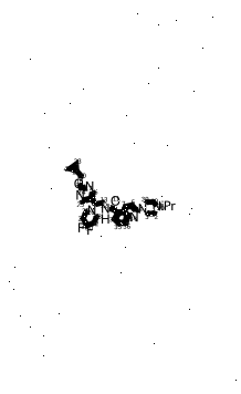 CC(C)N1CCN(c2ccc3c(C(=O)NCC(c4cnc(OCC5CC5)nc4)N4CCC(F)(F)CC4)cccc3n2)CC1